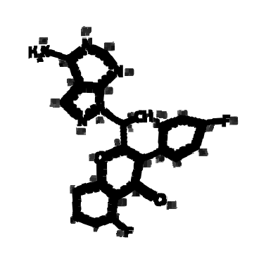 CC(c1oc2cccc(F)c2c(=O)c1-c1ccc(F)cc1)n1ncc2c(N)ncnc21